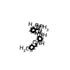 CC1CCC(CC(=O)N[C@H]2CC[C@@H](Nc3nc(N(C)C)c4ccccc4n3)CC2)CC1